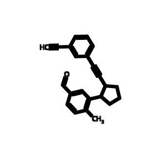 C#Cc1cccc(C#CC2CCCC2c2cc(C=O)ccc2C)c1